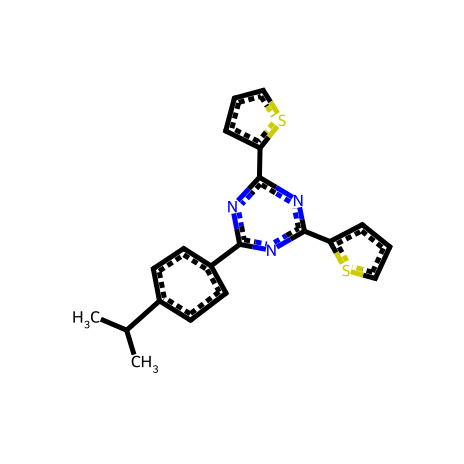 CC(C)c1ccc(-c2nc(-c3cccs3)nc(-c3cccs3)n2)cc1